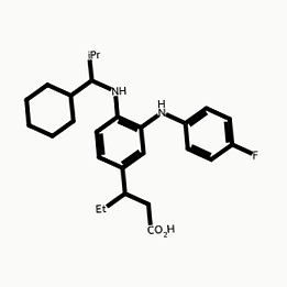 CCC(CC(=O)O)c1ccc(NC(C(C)C)C2CCCCC2)c(Nc2ccc(F)cc2)c1